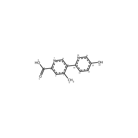 Cc1cc(C(=O)O)ncc1-c1ccc(O)cn1